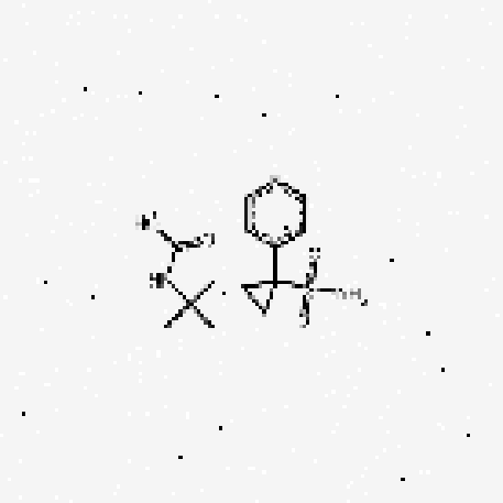 CC(C)(C)NC(=O)O.NS(=O)(=O)C1(c2ccncc2)CC1